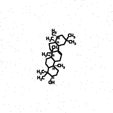 C[C@@H]1CC(C)(C)CC2C3=CCC4[C@@]5(C)CC[C@H](O)C(C)(C)C5CC[C@@]4(C)[C@]3(C)CC[C@]21C